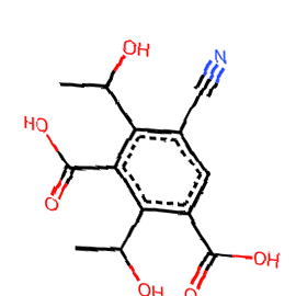 CC(O)c1c(C#N)cc(C(=O)O)c(C(C)O)c1C(=O)O